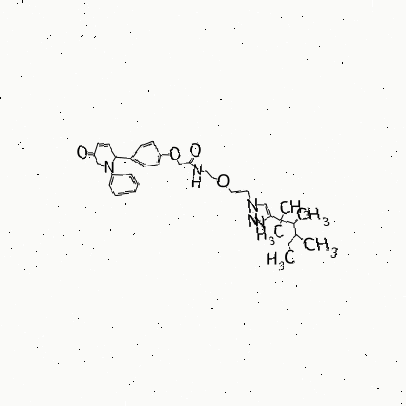 CCC(C)C(C)C(C)(C)c1cn(CCOCCNC(=O)COc2ccc(C3C=CC(=O)CN3c3ccccc3)cc2)nn1